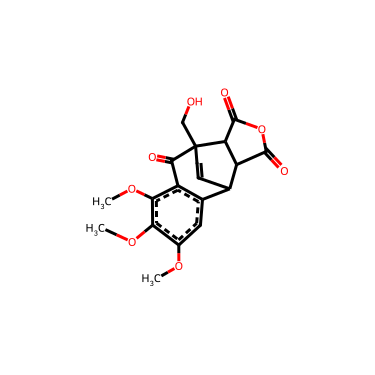 COc1cc2c(c(OC)c1OC)C(=O)C1(CO)C=CC2C2C(=O)OC(=O)C21